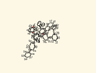 O=S1(=O)c2ccccc2-c2ccc3c(c21)-c1ccccc1C31c2ccccc2-c2ccccc2-c2ccc(-c3nc(-c4ccccc4)nc(-c4ccc(-c5ccccc5)cc4)n3)cc21